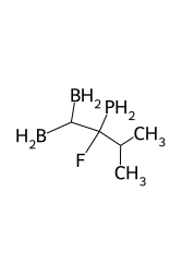 BC(B)C(F)(P)C(C)C